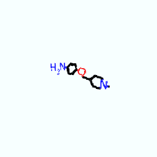 CN1CCC(COc2ccc(N)cc2)CC1